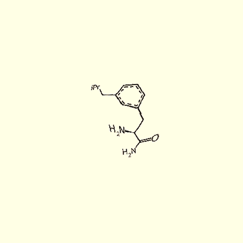 CC(C)Cc1cccc(C[C@H](N)C(N)=O)c1